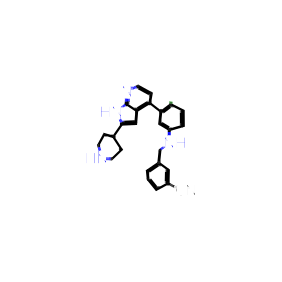 N#Cc1cccc(CNc2ccc(F)c(-c3ccnc4[nH]c(C5CCNCC5)cc34)c2)c1